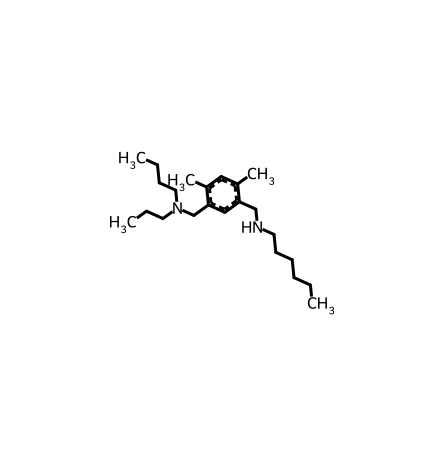 CCCCCCNCc1cc(CN(CCC)CCCC)c(C)cc1C